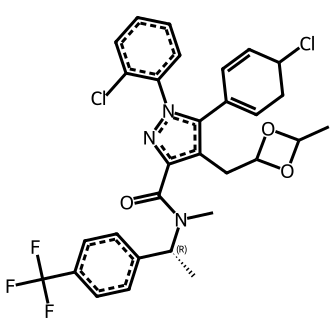 CC1OC(Cc2c(C(=O)N(C)[C@H](C)c3ccc(C(F)(F)F)cc3)nn(-c3ccccc3Cl)c2C2=CCC(Cl)C=C2)O1